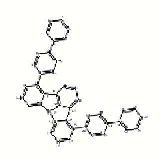 c1ccc(-c2ccc(-c3cncc4c3c3cccc5c6c(-c7ccc(-c8ccccc8)cc7)cncc6n4c35)cc2)cc1